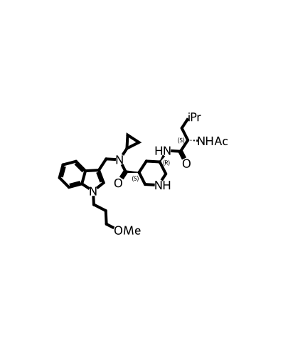 COCCCn1cc(CN(C(=O)[C@@H]2CNC[C@H](NC(=O)[C@H](CC(C)C)NC(C)=O)C2)C2CC2)c2ccccc21